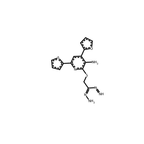 N=N/C(CSc1nc(-c2cccs2)cc(-c2ccco2)c1N)=N\N